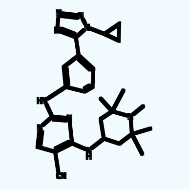 CN1C(C)(C)CC(Nc2nc(Nc3cccc(-c4nnnn4C4CC4)c3)ncc2C#N)CC1(C)C